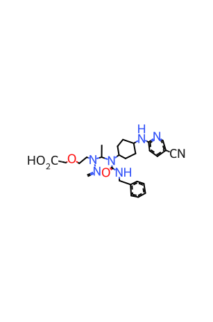 C=NN(CCOCC(=O)O)C(C)N(C(=O)NCc1ccccc1)C1CCC(Nc2ccc(C#N)cn2)CC1